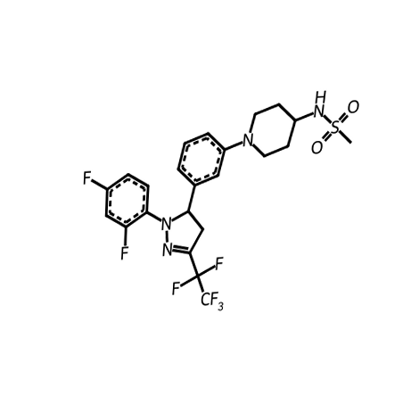 CS(=O)(=O)NC1CCN(c2cccc(C3CC(C(F)(F)C(F)(F)F)=NN3c3ccc(F)cc3F)c2)CC1